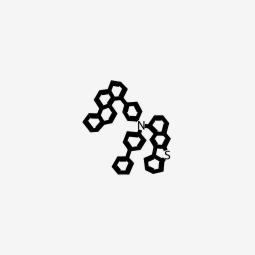 c1ccc(-c2ccc(N(c3ccc(-c4cccc5ccc6c7ccccc7ccc6c45)cc3)c3cccc4cc5sc6ccccc6c5cc34)cc2)cc1